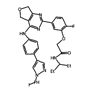 CCC(CC)NC(=O)COc1cc(-c2nc3c(c(Nc4ccc(-c5cnn(PI)c5)cc4)n2)COC3)ccc1F